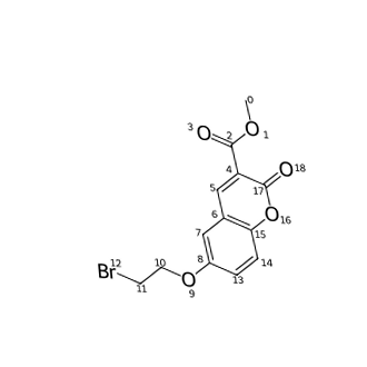 COC(=O)c1cc2cc(OCCBr)ccc2oc1=O